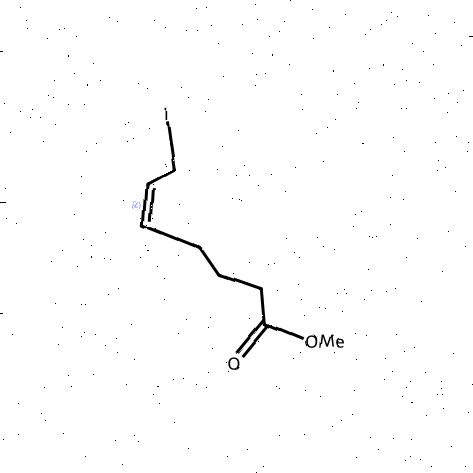 COC(=O)CCC/C=C\CI